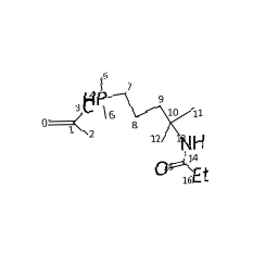 C=C(C)C[PH](C)(C)CCCC(C)(C)NC(=O)CC